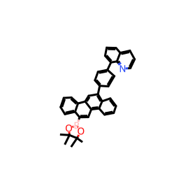 CC1(C)OB(c2cc3c4ccccc4c(-c4ccc(-c5cccc6cccnc56)cc4)cc3c3ccccc23)OC1(C)C